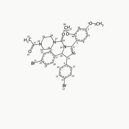 COc1ccc(C2=NC(c3ccc(Br)cc3)C(c3ccc(Br)cc3)N2C(=O)N2CCN(C(C)=O)CC2)c(OC)c1